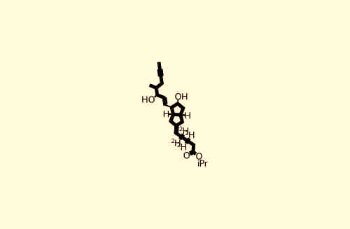 [2H]C([2H])(/C=C1\C[C@H]2C[C@@H](O)[C@H](/C=C/[C@@H](O)C(C)CC#CC)[C@H]2C1)C([2H])([2H])CC(=O)OC(C)C